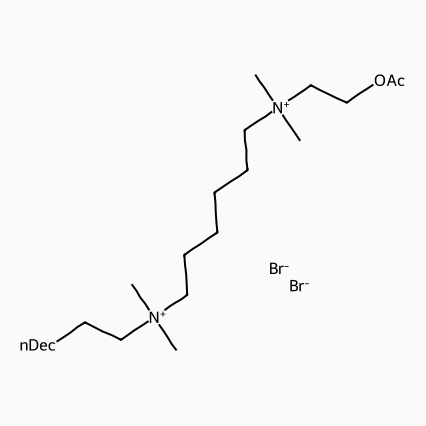 CCCCCCCCCCCC[N+](C)(C)CCCCCC[N+](C)(C)CCOC(C)=O.[Br-].[Br-]